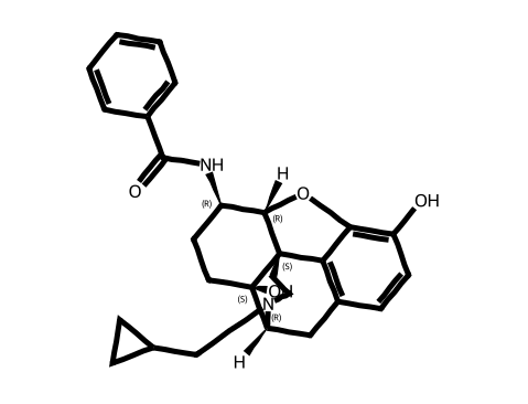 O=C(N[C@@H]1CC[C@@]2(O)[C@H]3Cc4ccc(O)c5c4[C@@]2(CCN3CC2CC2)[C@H]1O5)c1ccccc1